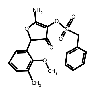 COc1c(C)cccc1C1OC(N)=C(OS(=O)(=O)Cc2ccccc2)C1=O